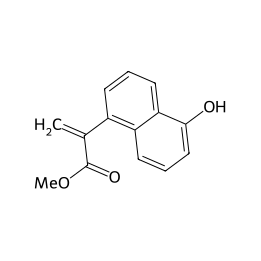 C=C(C(=O)OC)c1cccc2c(O)cccc12